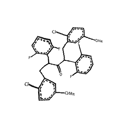 COc1ccc(Cl)c(CC(C(=O)C(Cc2cc(OC)ccc2Cl)c2c(F)cccc2F)c2c(F)cccc2F)c1